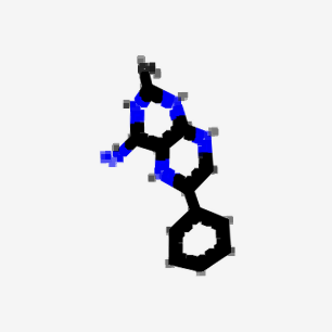 Cc1nc(N)c2nc(-c3ccccc3)cnc2n1